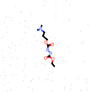 CCOC(=O)N=NC(=O)OCCCN(C)C